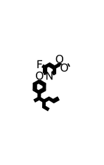 C=CCC(CC)C(C)c1ccc(Oc2ncc(C(=O)OC)cc2F)cc1